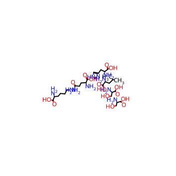 CC(C)CC(N)C(=O)O.NC(=O)CCC(N)C(=O)O.NC(CO)C(=O)O.NC(CO)C(=O)O.NC(Cc1c[nH]cn1)C(=O)O.NCCCCC(N)C(=O)O